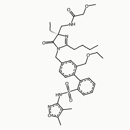 CCCCC1=N[C@](CC)(CNC(=O)COC)C(=O)N1Cc1ccc(-c2ccccc2S(=O)(=O)Nc2noc(C)c2C)c(COCC)c1